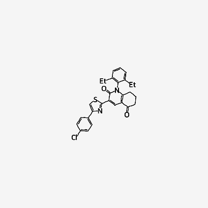 CCc1cccc(CC)c1-n1c2c(cc(-c3nc(-c4ccc(Cl)cc4)cs3)c1=O)C(=O)CCC2